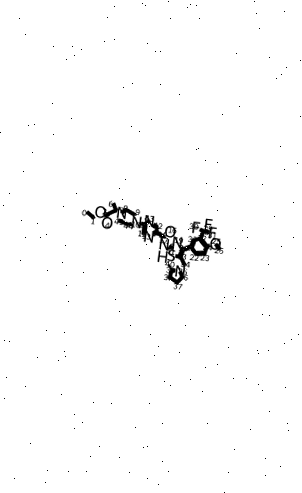 CCOC(=O)C(C)N1CCN(c2cnc(C(=O)Nc3nc(-c4ccc(OC)c(C(F)(F)F)c4)c(CN4CCC[C@H]4C)s3)cn2)CC1